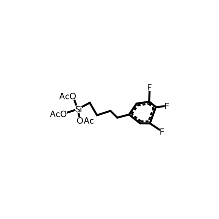 CC(=O)O[Si](CCCCc1cc(F)c(F)c(F)c1)(OC(C)=O)OC(C)=O